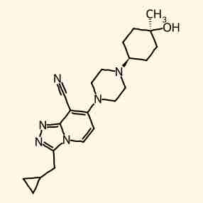 C[C@]1(O)CC[C@@H](N2CCN(c3ccn4c(CC5CC5)nnc4c3C#N)CC2)CC1